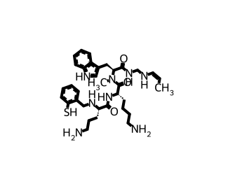 C/C=C\NCNC(=O)[C@H](Cc1c[nH]c2ccccc12)N(C)C(=O)[C@H](CCCCN)NC(=O)[C@H](CCCN)NCc1ccccc1S